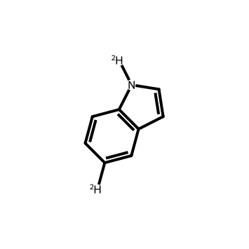 [2H]c1ccc2c(ccn2[2H])c1